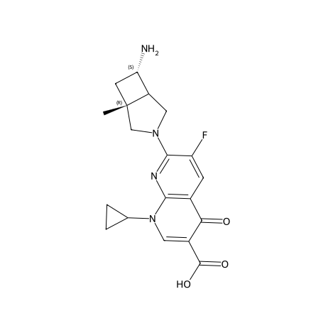 C[C@@]12C[C@H](N)C1CN(c1nc3c(cc1F)c(=O)c(C(=O)O)cn3C1CC1)C2